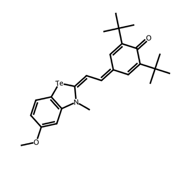 COc1ccc2c(c1)N(C)C(=CC=C1C=C(C(C)(C)C)C(=O)C(C(C)(C)C)=C1)[Te]2